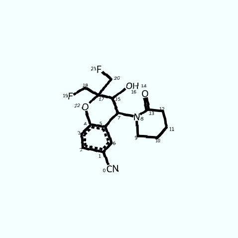 N#Cc1ccc2c(c1)C(N1CCCCC1=O)C(O)C(CF)(CF)O2